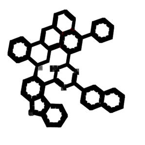 C1=CCC2C=C3C[C@@H](c4ccc5oc6ccccc6c5c4C4=NC(c5ccc6ccccc6c5)=NC(c5cccc(-c6ccccc6)c5)N4)c4ccccc4C3=CC2=C1